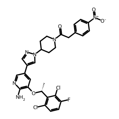 C[C@@H](Oc1cc(-c2cnn(C3CCN(C(=O)Cc4ccc([N+](=O)[O-])cc4)CC3)c2)cnc1N)c1c(Cl)ccc(F)c1Cl